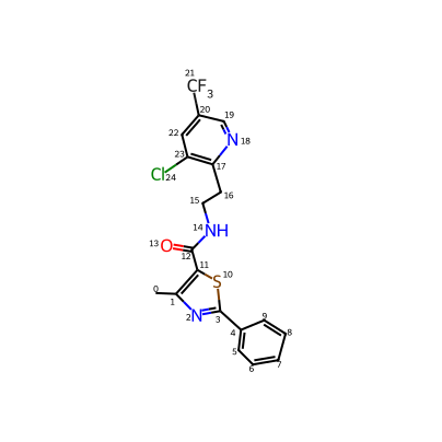 Cc1nc(-c2ccccc2)sc1C(=O)NCCc1ncc(C(F)(F)F)cc1Cl